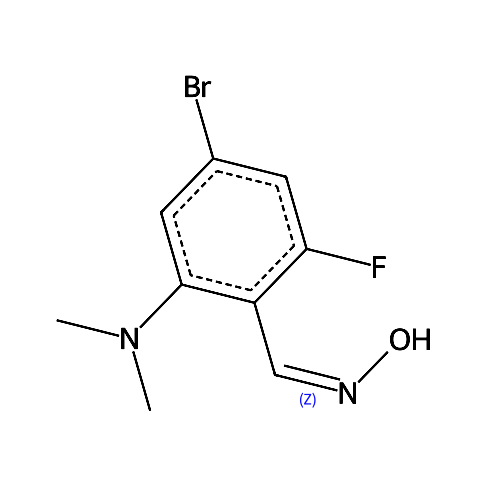 CN(C)c1cc(Br)cc(F)c1/C=N\O